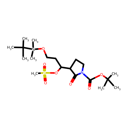 CC(C)(C)OC(=O)N1CCC(C(CCO[Si](C)(C)C(C)(C)C)OS(C)(=O)=O)C1=O